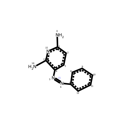 Nc1ccc(/N=N\c2ccccc2)c(N)n1